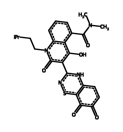 CC(C)CCn1c(=O)c(-c2nsc3c(=O)c(=O)ccc=3[nH]2)c(O)c2c(C(=O)N(C)C)cccc21